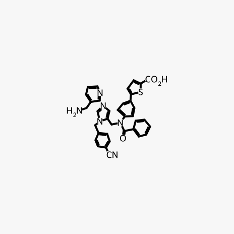 N#Cc1ccc(Cn2cncc2CN(C(=O)c2ccccc2)c2ccc(-c3ccc(C(=O)O)s3)cc2)cc1.NCc1cccnc1